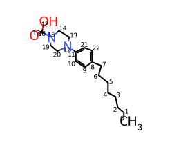 CCCCCCCCc1ccc(N2CCN(C(=O)O)CC2)cc1